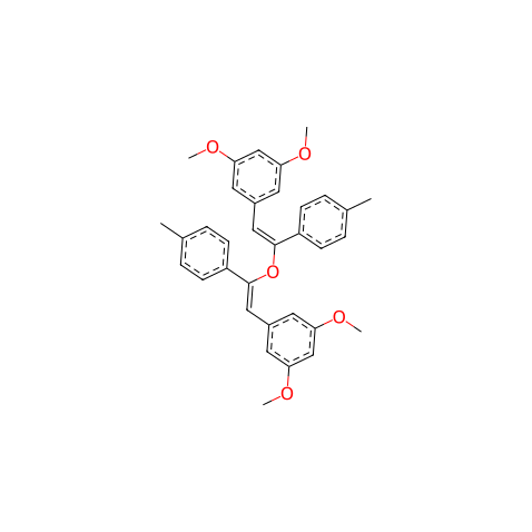 COc1cc(C=C(OC(=Cc2cc(OC)cc(OC)c2)c2ccc(C)cc2)c2ccc(C)cc2)cc(OC)c1